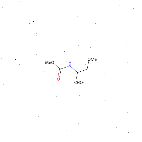 COCC([C]=O)NC(=O)OC